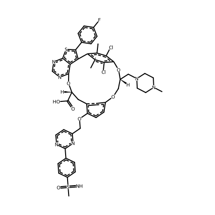 Cc1c(Cl)c2c(Cl)c(C)c1-c1c(-c3ccc(F)cc3)sc3ncnc(c13)O[C@@H](C(=O)O)Cc1cc(ccc1OCc1ccnc(-c3ccc(S(C)(=N)=O)cc3)n1)OC[C@@H](CN1CCN(C)CC1)O2